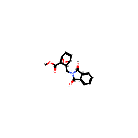 COC(=O)C1C2C=CC(O2)C1CN1C(=O)c2ccccc2C1=O